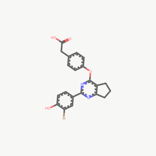 O=C(O)Cc1ccc(Oc2nc(-c3ccc(O)c(Br)c3)nc3c2CCC3)cc1